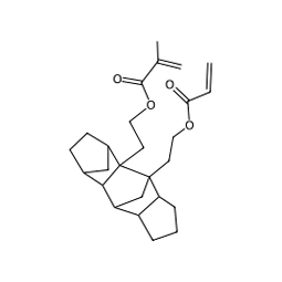 C=CC(=O)OCCC12CC(C3CCCC31)C1C3CCC(C3)C12CCOC(=O)C(=C)C